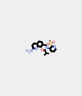 CC(C)C(=O)N(Cc1ccc2ccc(N)nc2c1)c1cccnc1S(C)(=O)=O